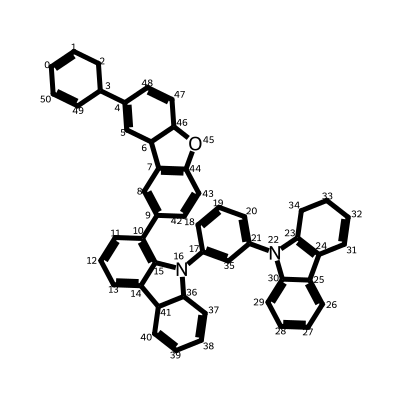 C1=CCC(C2=CC3c4cc(-c5cccc6c5N(c5cccc(-n7c8c(c9ccccc97)C=CCC8)c5)C5C=CC=CC65)ccc4OC3C=C2)C=C1